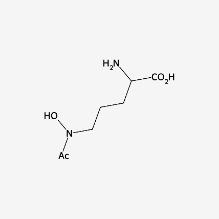 CC(=O)N(O)CCCC(N)C(=O)O